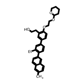 CCc1cc(-c2ccc(OCCOC3CCCCO3)c(CCO)c2)ccc1-c1ccc2cc(C)ccc2c1